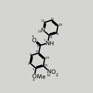 COc1ccc(C(=O)Nc2ccccn2)cc1[N+](=O)[O-]